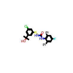 CC(C)c1cc(F)cc(C(C)C)c1NC(=O)NSc1cc(Cl)cc(C(C)(C)O)c1